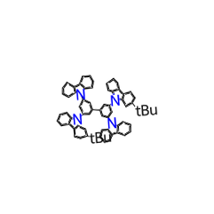 CC(C)(C)c1ccc2c3ccccc3n(-c3cc(-c4cc(-n5c6ccccc6c6ccccc65)cc(-n5c6ccccc6c6ccc(C(C)(C)C)cc65)c4)cc(-n4c5ccccc5c5ccccc54)c3)c2c1